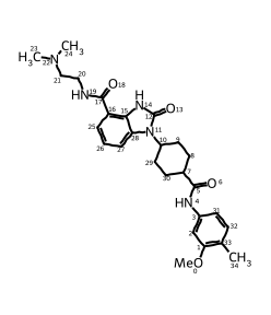 COc1cc(NC(=O)C2CCC(n3c(=O)[nH]c4c(C(=O)NCCN(C)C)cccc43)CC2)ccc1C